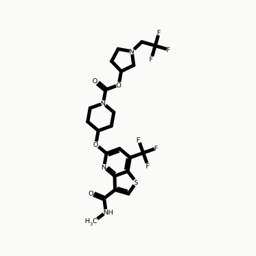 CNC(=O)c1csc2c(C(F)(F)F)cc(OC3CCN(C(=O)OC4CCN(CC(F)(F)F)C4)CC3)nc12